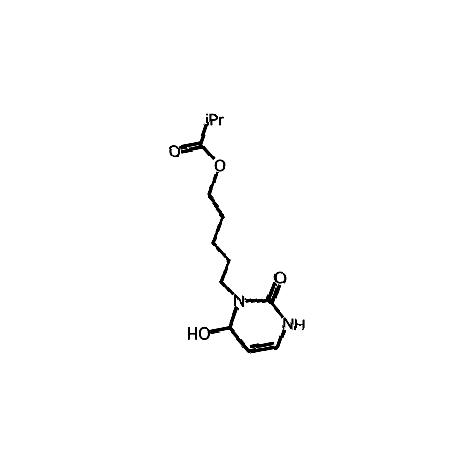 CC(C)C(=O)OCCCCCN1C(=O)NC=CC1O